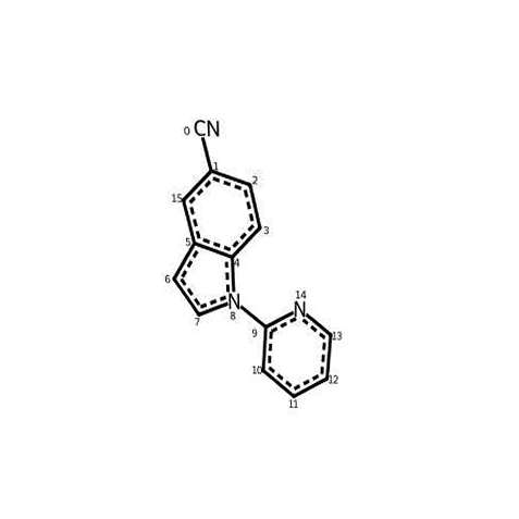 N#Cc1ccc2c(ccn2-c2ccccn2)c1